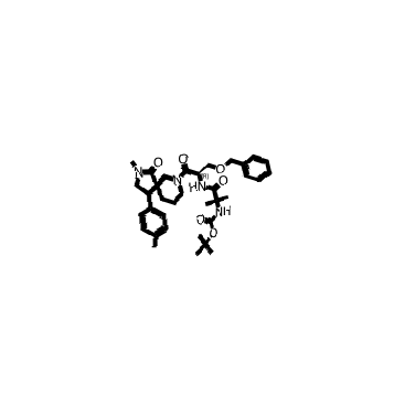 Cc1ccc(C2CN(C)C(=O)C23CCCN(C(=O)[C@@H](COCc2ccccc2)NC(=O)C(C)(C)NC(=O)OC(C)(C)C)C3)cc1